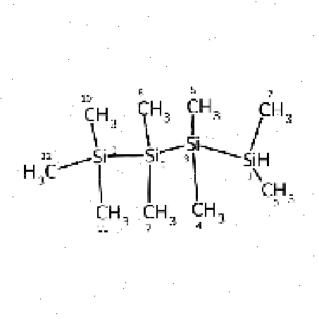 C[SiH](C)[Si](C)(C)[Si](C)(C)[Si](C)(C)C